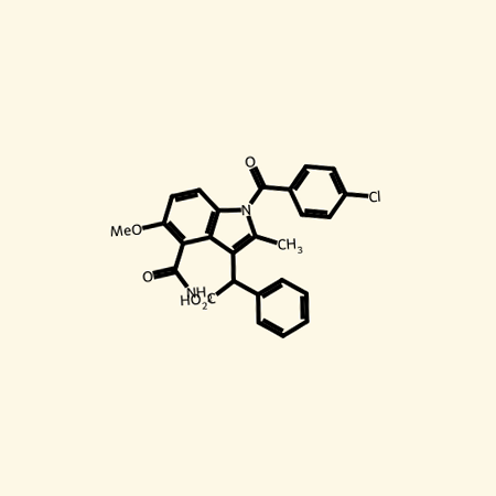 COc1ccc2c(c1C(N)=O)c(C(C(=O)O)c1ccccc1)c(C)n2C(=O)c1ccc(Cl)cc1